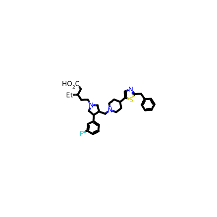 CCC(CCN1CC(CN2CCC(c3cnc(Cc4ccccc4)s3)CC2)C(c2cccc(F)c2)C1)CC(=O)O